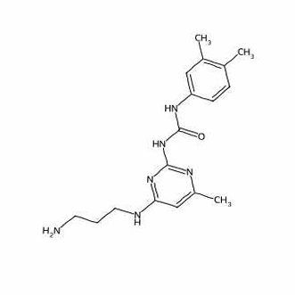 Cc1cc(NCCCN)nc(NC(=O)Nc2ccc(C)c(C)c2)n1